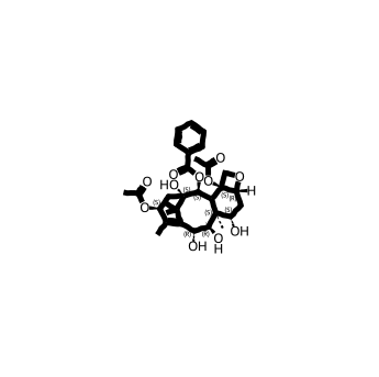 CC(=O)O[C@H]1C[C@@]2(O)[C@@H](OC(=O)c3ccccc3)C3[C@@](C)([C@@H](O)C[C@H]4OC[C@@]34OC(C)=O)[C@@H](O)[C@H](O)C(=C1C)C2(C)C